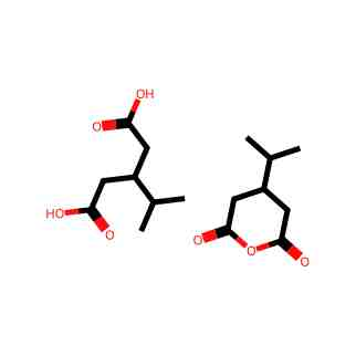 CC(C)C(CC(=O)O)CC(=O)O.CC(C)C1CC(=O)OC(=O)C1